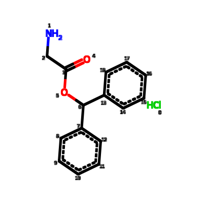 Cl.NCC(=O)OC(c1ccccc1)c1ccccc1